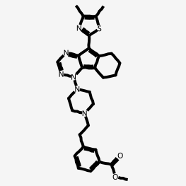 COC(=O)c1cccc(CCN2CCN(n3ncnc4c(-c5nc(C)c(C)s5)c5c(c3-4)CCCC5)CC2)c1